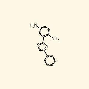 Nc1ccc(N)c(-c2nc(-c3cccnc3)cs2)c1